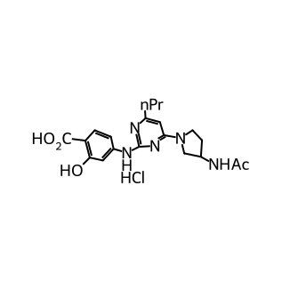 CCCc1cc(N2CCC(NC(C)=O)C2)nc(Nc2ccc(C(=O)O)c(O)c2)n1.Cl